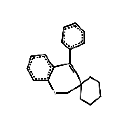 C1=C(c2ccccc2)c2ccccc2SCC12CCCCC2